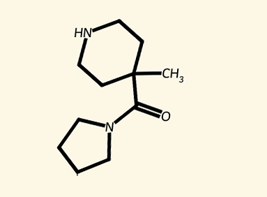 CC1(C(=O)N2C[CH]CC2)CCNCC1